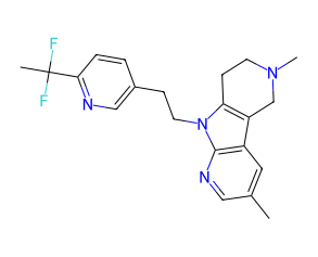 Cc1cnc2c(c1)c1c(n2CCc2ccc(C(C)(F)F)nc2)CCN(C)C1